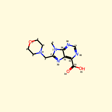 Cn1c(CN2CCOCC2)nc2c(C(=O)O)ncnc21